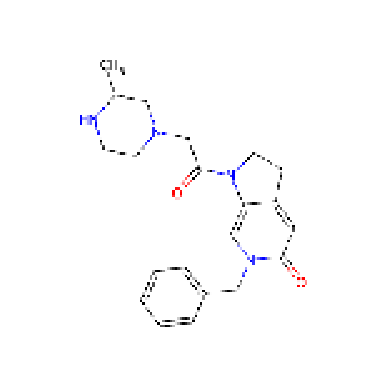 CC1CN(CC(=O)N2CCc3cc(=O)n(Cc4ccccc4)cc32)CCN1